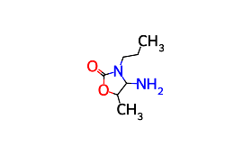 CCCN1C(=O)OC(C)C1N